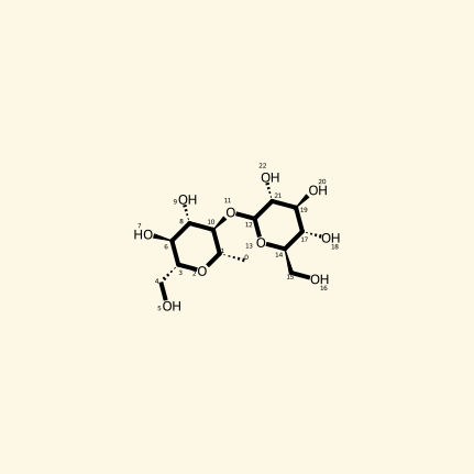 C[C@@H]1O[C@H](CO)[C@@H](O)[C@H](O)[C@H]1OC1O[C@H](CO)[C@@H](O)[C@H](O)[C@H]1O